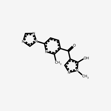 Cc1nc(-n2cncn2)ccc1C(=O)c1cnn(C)c1O